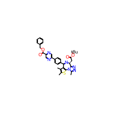 Cc1sc2c(c1C)C(c1ccc(-c3cnc(C(=O)OCc4ccccc4)cn3)cc1)=N[C@@H](CC(=O)OC(C)(C)C)c1nnc(C)n1-2